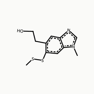 CSSc1cc2c(cc1CCO)ncn2C